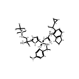 COc1ccc(C(C)NS(=O)(=NC(=O)Nc2c(C(C)C3CC3)ccc3c2CCC3)c2cnc(C(C)(O)CO[Si](C)(C)C(C)(C)C)s2)cc1